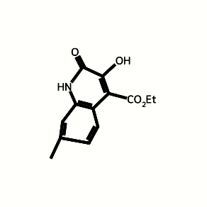 CCOC(=O)c1c(O)c(=O)[nH]c2cc(C)ccc12